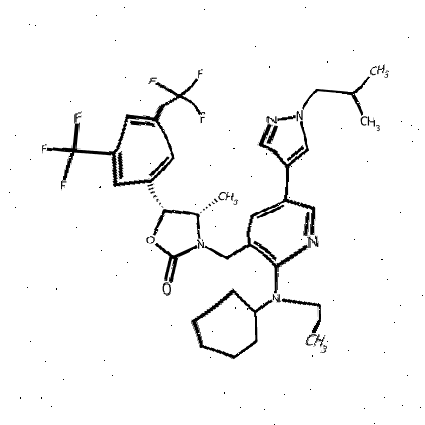 CCN(c1ncc(-c2cnn(CC(C)C)c2)cc1CN1C(=O)O[C@H](c2cc(C(F)(F)F)cc(C(F)(F)F)c2)[C@@H]1C)C1CCCCC1